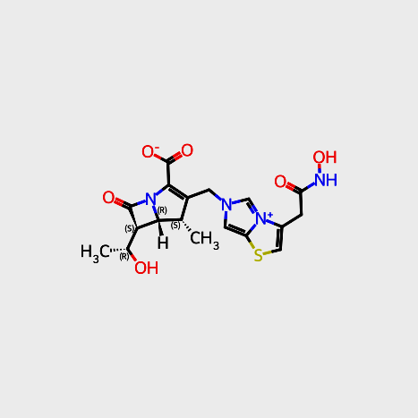 C[C@@H](O)[C@H]1C(=O)N2C(C(=O)[O-])=C(Cn3cc4scc(CC(=O)NO)[n+]4c3)[C@H](C)[C@H]12